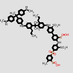 C=CCc1cc(Bc2ccc(C(C)(c3ccc(BC)cc3)c3ccc(BC)cc3)cc2)ccc1C(C)(C)c1ccc(Bc2ccc(-c3ccc(Bc4ccc(S(=O)(=O)c5ccc(C)c(SOO)c5)cc4S(=O)(=O)O)c(SOO)c3)cc2S(=O)(=O)O)cc1CC=C